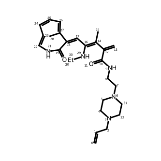 C=CCN1CCN(CCNC(=O)C(=C)/C(C)=C(/C=C2C(=O)N/C=C/C=C\C=C\2C)NCC)CC1